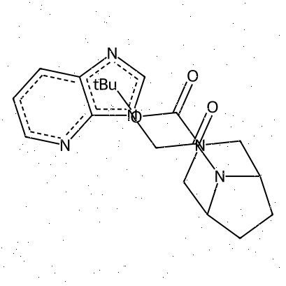 CC(C)(C)OC(=O)N1CC2CCC(C1)N2C(=O)Cn1cnc2cccnc21